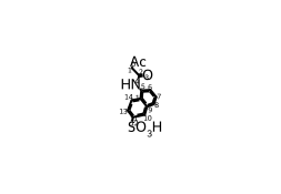 CC(=O)CC(=O)Nc1cccc2cc(S(=O)(=O)O)ccc12